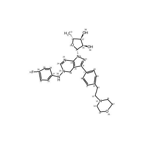 C[C@H]1O[C@@H](n2nc(-c3ccc(CCN4CCOCC4)cc3)c3c2N=CN(Nc2ccc(F)cc2)C3)[C@H](O)[C@@H]1O